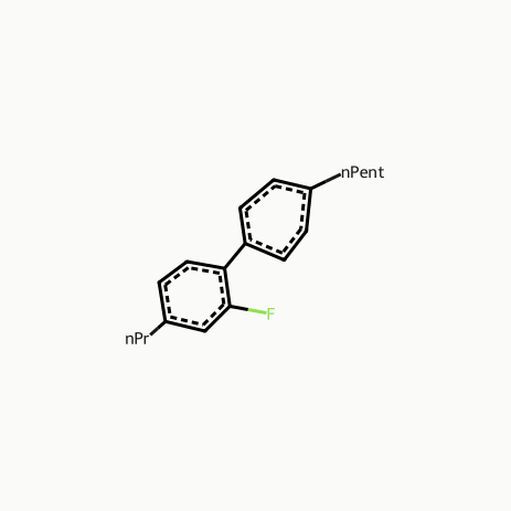 CCCCCc1ccc(-c2ccc(CCC)cc2F)cc1